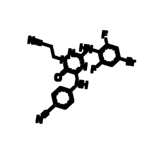 N#CCCn1nc(Nc2c(F)cc(Br)cc2F)nc(Nc2ccc(C#N)cc2)c1=O